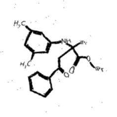 Cc1cc(C)cc(NC(CC(=O)c2ccccc2)(C(=O)OC(C)C)C(C)C)c1